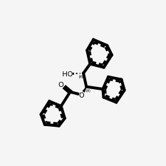 O=C(O[C@H](c1ccccc1)[C@H](O)c1ccccc1)c1ccccc1